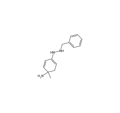 CC1(N)C=CC(NNCc2ccccc2)=CC1